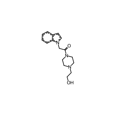 O=C(Cn1ccc2ccccc21)N1CCN(CCO)CC1